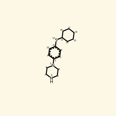 c1cc(N2CCNCC2)ccc1SC1CCCCC1